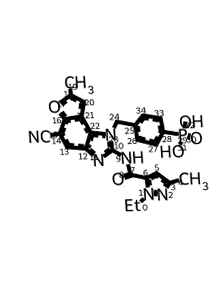 CCn1nc(C)cc1C(=O)Nc1nc2cc(C#N)c3oc(C)cc3c2n1Cc1ccc(P(=O)(O)O)cc1